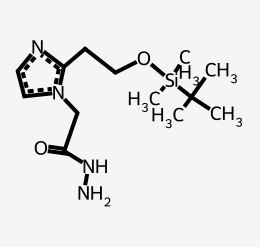 CC(C)(C)[Si](C)(C)OCCc1nccn1CC(=O)NN